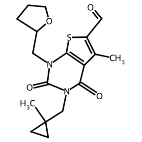 Cc1c(C=O)sc2c1c(=O)n(CC1(C)CC1)c(=O)n2CC1CCCO1